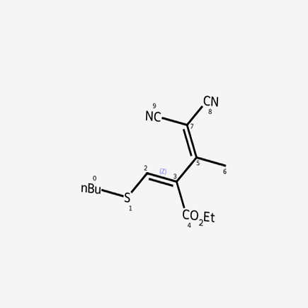 CCCCS/C=C(\C(=O)OCC)C(C)=C(C#N)C#N